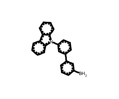 Bc1cccc(-c2cccc(-n3c4ccccc4c4ccccc43)c2)c1